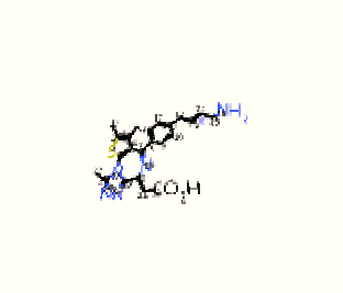 Cc1sc2c(c1C)C(c1ccc(C/C=C/CN)cc1)=NC(CC(=O)O)c1nnc(C)n1-2